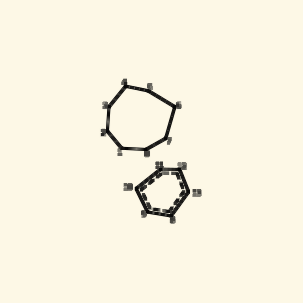 C1CCCCCCC1.c1ccccc1